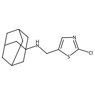 Clc1ncc(CNC23CC4CC(CC(C4)C2)C3)s1